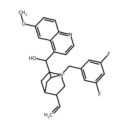 C=CC1C[N+]2(Cc3cc(F)cc(F)c3)CCC1CC2C(O)c1ccnc2ccc(OC)cc12